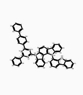 c1ccc(-c2ccc(-c3nc(-c4ccccc4)nc(-n4c5ccccc5c5c4ccc4c6ccccc6n(-c6cccc7c6oc6ccccc67)c45)n3)cc2)cc1